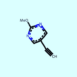 C#Cc1cnc(OC)nc1